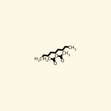 CC(=O)OC(C)=O.CCCCCCCCC